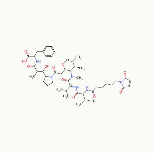 CCC(C)C(C(CC(=O)N1CCCC1C(O)C(C)C(=O)NC(Cc1ccccc1)C(=O)O)OC)N(C)C(=O)[C@@H](NC(=O)C(NC(=O)CCCCCN1C(=O)C=CC1=O)C(C)C)C(C)C